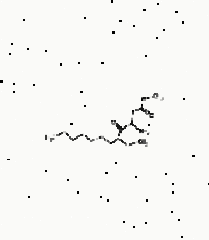 CCCCCCCC(CC)C(=O)C(N)CC(=O)OC